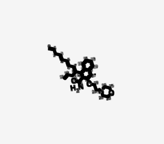 C=CCC=CC=CC=C(CC=C)c1c(C(N)=O)c(OCCN2CCOCC2)cc2ccccc12